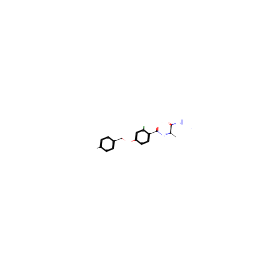 CC(NC(=O)c1ccc(OCc2ccc(C(F)(F)F)cc2)cc1F)C(N)=O